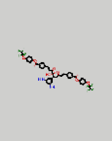 Nc1cc(N)cc(C(CC(=O)C=Cc2ccc(C(=O)Oc3ccc(OC(F)(F)C(F)F)cc3)cc2)C(O)(O)C(=O)C=Cc2ccc(C(=O)Oc3ccc(OC(F)(F)C(F)F)cc3)cc2)c1